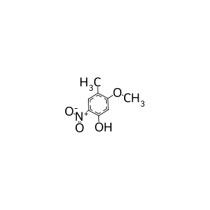 COc1cc(O)c([N+](=O)[O-])cc1C